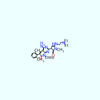 CCN(CC)CCNC1=CC(c2nc(N)c3cc(-c4c(C)cccc4C)c(=O)n(OC)c3n2)C(=C=O)N1C